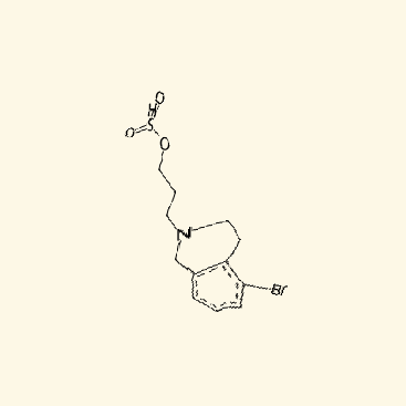 O=[SH](=O)OCCCN1CCc2c(Br)cccc2C1